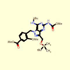 CCCCNc1nc(NC(=O)OC)nc2c(CO[Si](C)(C)C(C)(C)C)nn(Cc3ccc(C(=O)OC)cc3OC)c12